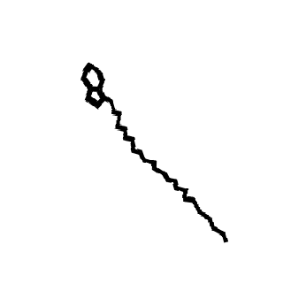 CCCCCCCCCCCCCCCCCCCCCCCCc1ccc2cccccc1-2